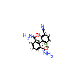 N#Cc1ccc(F)c(-c2c(C(N)=O)cccc2C(N)=O)c1